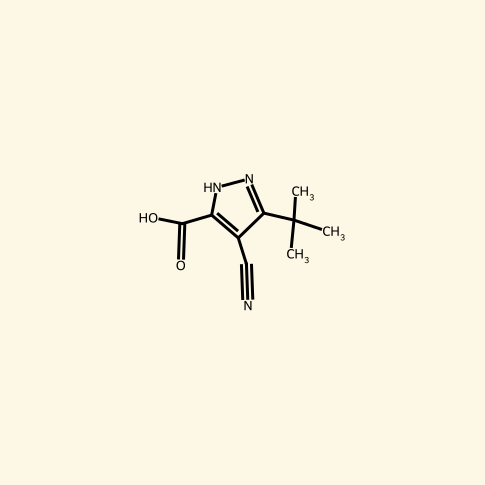 CC(C)(C)c1n[nH]c(C(=O)O)c1C#N